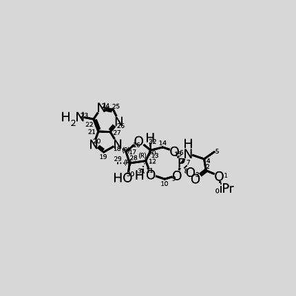 CC(C)OC(=O)C(C)NP1(=O)OCO[C@@H]2[C@@H](CO1)O[C@@H](n1cnc3c(N)ncnc31)[C@]2(C)O